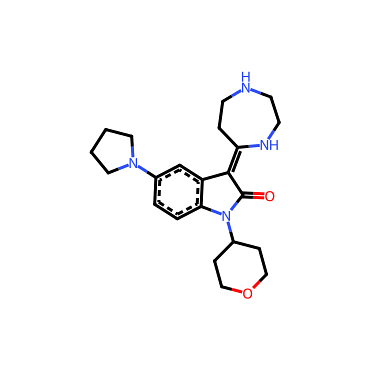 O=C1/C(=C2/CCNCCN2)c2cc(N3CCCC3)ccc2N1C1CCOCC1